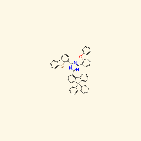 c1ccc(C2(c3ccccc3)c3ccccc3-c3c(-c4nc(-c5cccc6c5oc5ccccc56)nc(-c5cccc6c5sc5ccccc56)n4)cccc32)cc1